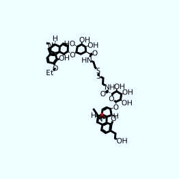 CCOc1ccc2c3c1O[C@H]1[C@@H](O[C@@H]4C[C@H](C(=O)NCCSSCCNC(=O)[C@H]5O[C@@H](O[C@H]6C=CC7[C@H]8Cc9ccc(CCO)c%10c9[C@@]7(CCN8C)[C@H]6O%10)[C@H](O)[C@@H](O)[C@@H]5O)[C@@H](O)[C@H](O)[C@H]4O)C=CC4[C@@H](C2)N(C)CC[C@@]341